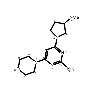 CN[C@@H]1CCN(c2cc(N3CCOCC3)nc(N)n2)C1